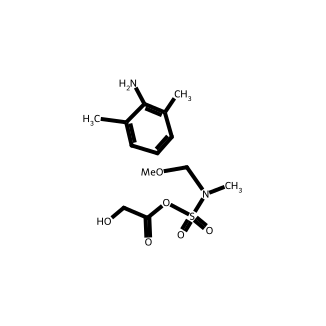 COCN(C)S(=O)(=O)OC(=O)CO.Cc1cccc(C)c1N